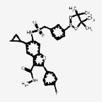 CNC(=O)c1c(-c2ccc(F)cc2)oc2cc(NS(=O)(=O)Cc3cccc(B4OC(C)(C)C(C)(C)O4)c3)c(C3CC3)cc12